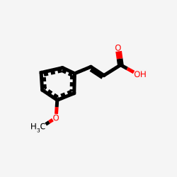 COc1cc[c]c(/C=C/C(=O)O)c1